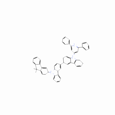 CC1(C)C2=CCC(N3c4ccccc4C4C=C(C5C=c6c7c(n(-c8cc(-c9ccccc9)nc(-c9ccccc9)c8)c6=CC5)CCC=C7)C=CC43)C=C2c2ccccc21